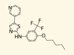 CCCCCOc1ccc(Nc2ncc(-c3cccnc3)s2)cc1C(F)(F)F